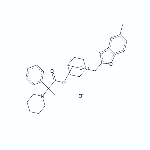 Cc1ccc2oc(C[N+]34CCC(CC3)C(OC(=O)C(C)(c3ccccc3)N3CCCCC3)C4)nc2c1.[Cl-]